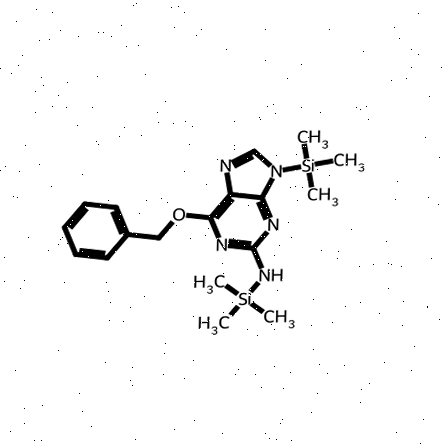 C[Si](C)(C)Nc1nc(OCc2ccccc2)c2ncn([Si](C)(C)C)c2n1